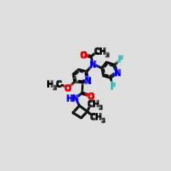 COc1ccc(N(C(C)=O)c2cc(F)nc(F)c2)nc1C(=O)NC1CCC1(C)C